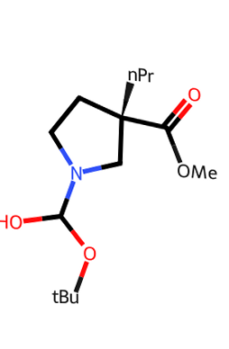 CCC[C@]1(C(=O)OC)CCN(C(O)OC(C)(C)C)C1